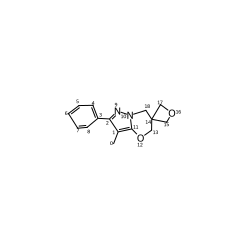 Cc1c(-c2ccccc2)nn2c1OCC1(COC1)C2